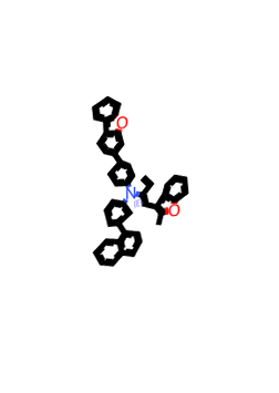 C=C/C(=C\c1c(C)oc2ccccc12)N(c1ccc(-c2ccc3c(c2)oc2ccccc23)cc1)c1cccc(-c2cccc3ccccc23)c1